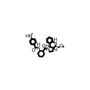 CNc1ccc(C(=O)N[C@@H]2CCCCC2C(=O)N2CC[C@H]3[C@H](COC)Nc4ccccc4[C@@H]32)cc1